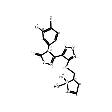 O=c1onc(-c2nonc2OCC2CC=NS2(O)O)n1-c1ccc(F)c(Br)c1